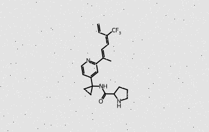 C=C/C(=C\C=C(/C)c1cc(C2(NC(=O)C3CCCN3)CC2)ccn1)C(F)(F)F